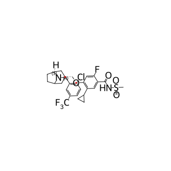 CS(=O)(=O)NC(=O)c1cc(C2CC2)c(OC[C@@H]2CC3CC[C@@H](C2)N3Cc2cc(C(F)(F)F)ccc2Cl)cc1F